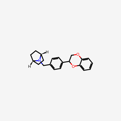 c1ccc2c(c1)OCC(c1ccc(CN3[C@H]4CC[C@@H]3CC4)cc1)O2